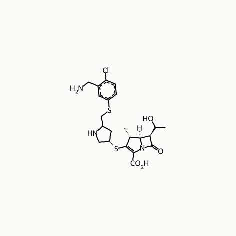 CC(O)[C@H]1C(=O)N2C(C(=O)O)=C(S[C@@H]3CNC(CSc4ccc(Cl)c(CN)c4)C3)[C@H](C)[C@@H]12